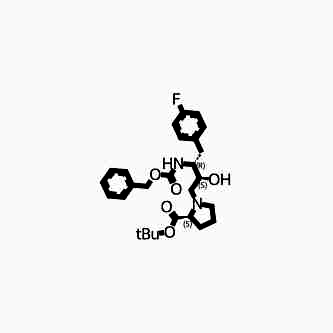 CC(C)(C)OC(=O)[C@@H]1CCCN1C[C@H](O)[C@@H](Cc1ccc(F)cc1)NC(=O)OCc1ccccc1